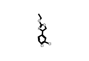 CCOC1=NC(c2ccc(Cl)c(Cl)c2)CO1